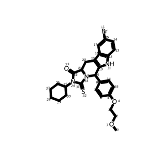 COCCOc1ccc(C2c3[nH]c4ccc(Br)cc4c3CC3C(=O)N(C4CCCCC4)C(=S)N32)cc1